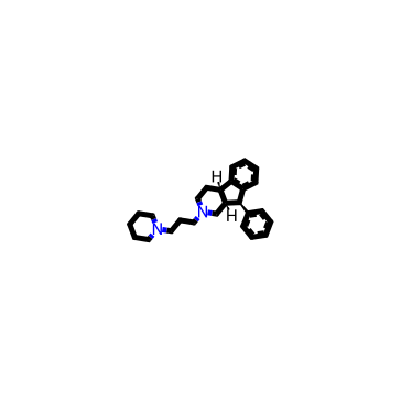 c1ccc([C@@H]2c3ccccc3[C@@H]3CCN(CCCN4CCCCC4)C[C@H]23)cc1